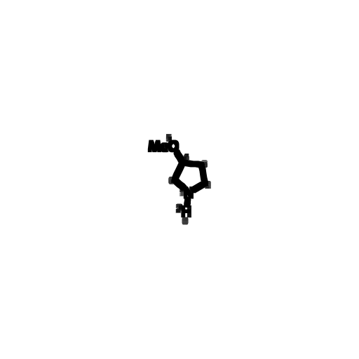 [2H]N1CCC(OC)C1